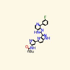 CCCCC(=O)Nc1cncc(-c2ccc3[nH]nc(-c4nc5c(-c6cccc(F)c6)nccc5[nH]4)c3n2)c1